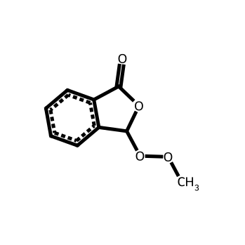 COOC1OC(=O)c2ccccc21